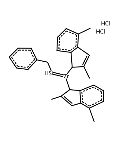 CC1=Cc2c(C)cccc2[CH]1[Zr](=[SiH]Cc1ccccc1)[CH]1C(C)=Cc2c(C)cccc21.Cl.Cl